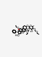 CCOCO[C@@H]1[C@H](O[C@H]2CC[C@@]3(C)[C@H](CC[C@@H]4[C@@H]3CC[C@]3(C)[C@@H](c5ccccc5)[C@H](O)C[C@]43OCOCC)C2)O[C@@H](C)[C@H](OCOCC)[C@H]1OC